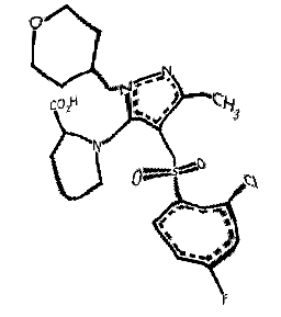 Cc1nn(C2CCOCC2)c(N2CCCC2C(=O)O)c1S(=O)(=O)c1ccc(F)cc1Cl